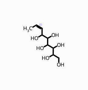 C/C=C\C(O)C(O)C(O)C(O)C(O)CO